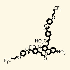 O=C(C=Cc1ccc(C(F)(F)Oc2ccc(OCCCC(F)(F)F)cc2)cc1)OCc1cc([N+](=O)[O-])ccc1-c1ccc([N+](=O)[O-])cc1CC(=Cc1ccc(C(F)(F)Oc2ccc(OCCCC(F)(F)F)cc2)cc1)C(=O)O